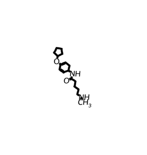 CNCCCCC(=O)NC1C=CC(OC2CCCC2)=CC1